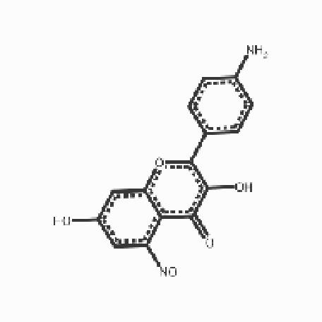 Nc1ccc(-c2oc3cc(O)cc(N=O)c3c(=O)c2O)cc1